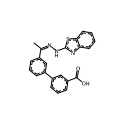 C/C(=N/Nc1nc2ccccc2s1)c1cccc(-c2cccc(C(=O)O)c2)c1